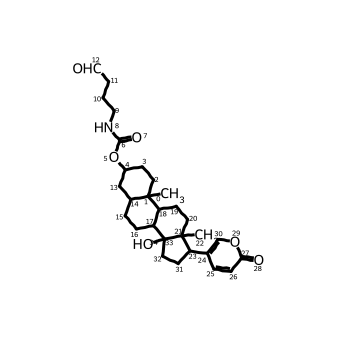 CC12CCC(OC(=O)NCCCC=O)CC1CCC1C2CCC2(C)C(c3ccc(=O)oc3)CCC12O